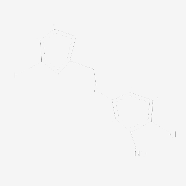 O=[N+]([O-])c1cc(OCc2cccc(F)c2)ccc1Cl